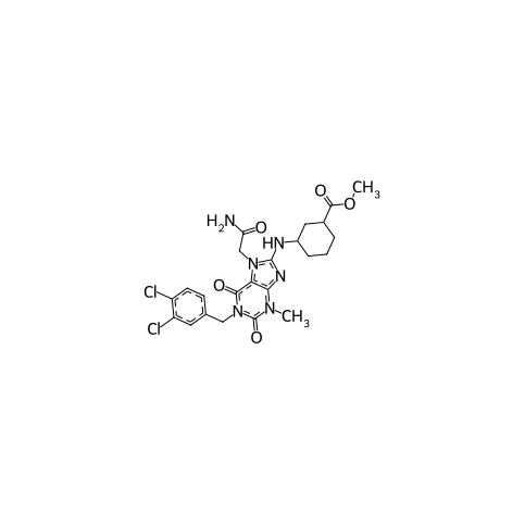 COC(=O)C1CCCC(Nc2nc3c(c(=O)n(Cc4ccc(Cl)c(Cl)c4)c(=O)n3C)n2CC(N)=O)C1